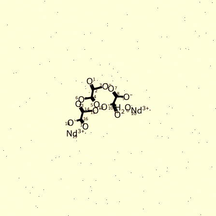 O.O=C([O-])C(=O)[O-].O=C([O-])C(=O)[O-].O=C([O-])C(=O)[O-].[Nd+3].[Nd+3]